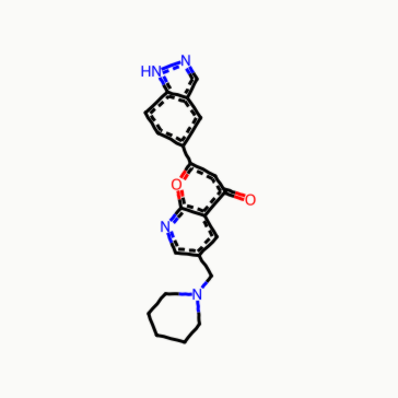 O=c1cc(-c2ccc3[nH]ncc3c2)oc2ncc(CN3CCCCC3)cc12